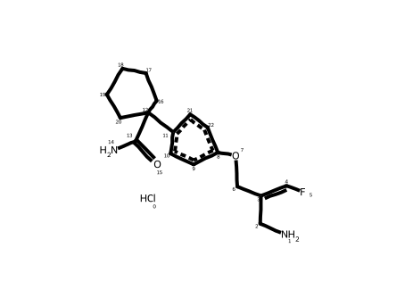 Cl.NCC(=CF)COc1ccc(C2(C(N)=O)CCCCC2)cc1